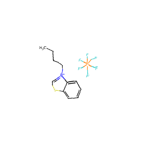 CCCC[n+]1csc2ccccc21.F[P-](F)(F)(F)(F)F